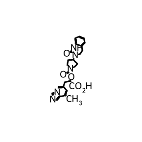 Cc1cc(CC(OC(=O)N2CCC(N3CCc4ccccc4NC3=O)CC2)C(=O)O)cn2cncc12